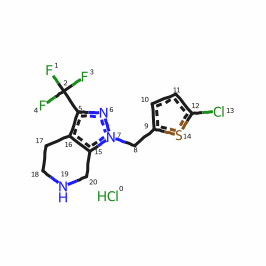 Cl.FC(F)(F)c1nn(Cc2ccc(Cl)s2)c2c1CCNC2